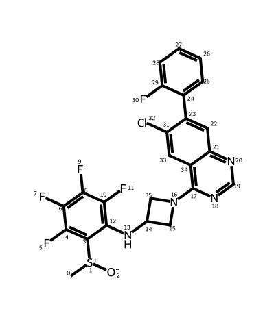 C[S+]([O-])c1c(F)c(F)c(F)c(F)c1NC1CN(c2ncnc3cc(-c4ccccc4F)c(Cl)cc23)C1